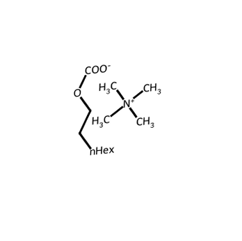 CCCCCCCCOC(=O)[O-].C[N+](C)(C)C